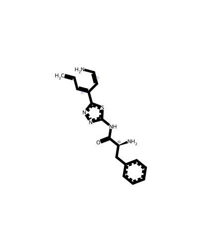 C=C/C=C(\C=C/N)c1nnc(NC(=O)[C@@H](N)Cc2ccccc2)s1